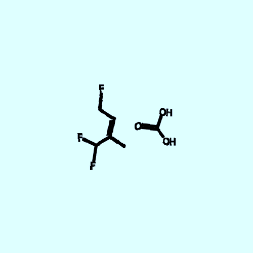 CC(=CCF)C(F)F.O=C(O)O